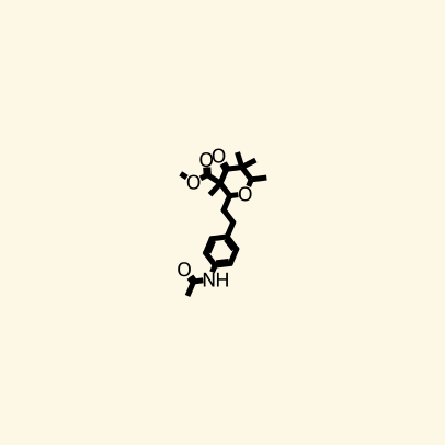 COC(=O)C1(C)C(=O)C(C)(C)C(C)OC1CCc1ccc(NC(C)=O)cc1